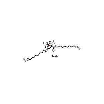 CCCCCCCCCOC(=O)CC(C)(C(=O)OCCCCCCCCC)S(=O)(=O)O.[NaH]